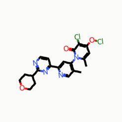 Cc1cnc(-c2ccnc(C3CCOCC3)n2)cc1-n1c(C)cc(OCl)c(Cl)c1=O